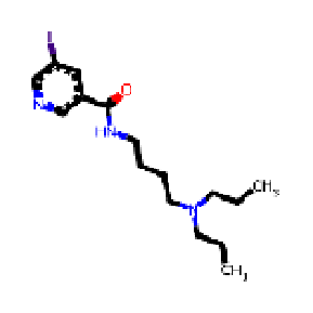 CCCN(CCC)CCCCNC(=O)c1cncc(I)c1